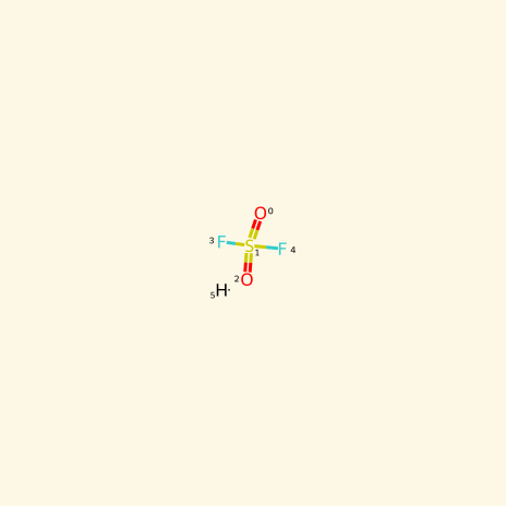 O=S(=O)(F)F.[H]